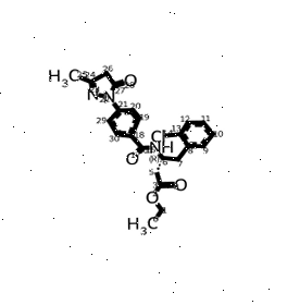 CCOC(=O)C[C@@H](Cc1ccccc1Cl)NC(=O)c1ccc(N2N=C(C)CC2=O)cc1